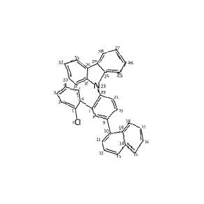 Clc1ccccc1-c1cc(-c2cccc3ccccc23)ccc1-n1c2ccccc2c2ccccc21